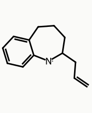 C=CCC1CCCc2ccccc2[N]1